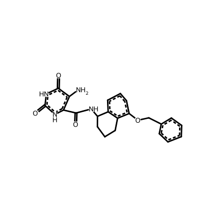 Nc1c(C(=O)NC2CCCc3c(OCc4ccccc4)cccc32)[nH]c(=O)[nH]c1=O